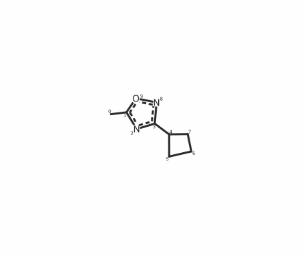 Cc1nc(C2CCC2)no1